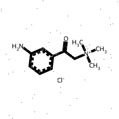 C[N+](C)(C)CC(=O)c1cccc(N)c1.[Cl-]